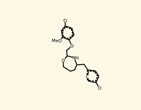 COc1cc(Cl)ccc1OCC1NC(Cc2ccc(Cl)cc2)CCCO1